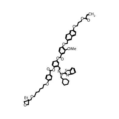 C=CC(=O)OCCCOc1ccc2cc(COc3ccc(C(=O)Oc4ccc(OC(=O)c5ccc(OCCCCCCOCC6(CC)COC6)cc5)c(/C=N/N(CC5CCCCC5)c5nc6ccccc6s5)c4)cc3OC)ccc2c1